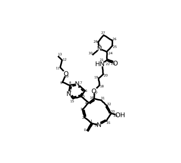 C=C1/C=C\C(c2cnc(COCCC)nc2)=C(\OCCCNC(=O)C2CCCCN2C)C/C=C(O)\C=N/1